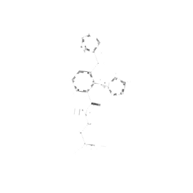 CC(C)CCNC(=O)c1cccc(Cc2cscn2)c1-n1cccc1